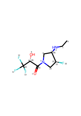 CCN[C@@H]1CN(C(=O)[C@@H](O)C(F)(F)F)C[C@@H]1F